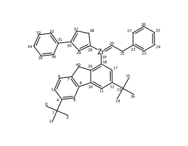 CC(C)(C)c1ccc2c(c1)-c1cc(C(C)(C)C)c[c](/[Zr](=[CH]\Cc3ccccc3)[C]3=CC(c4ccccc4)=CC3)c1C2